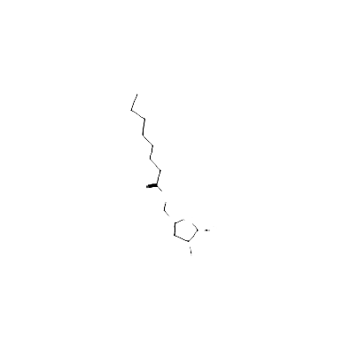 CCCCCCCC(=O)OC[C@@H]1C[C@H](O)[C@H](O)O1